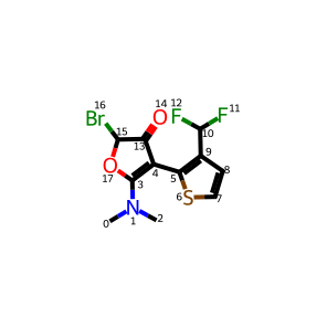 CN(C)C1=C(c2sccc2C(F)F)C(=O)C(Br)O1